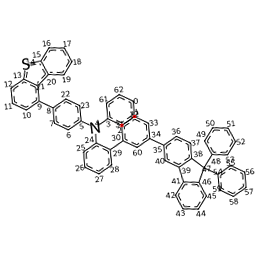 c1ccc(N(c2ccc(-c3cccc4sc5ccccc5c34)cc2)c2ccccc2-c2cccc(-c3ccc4c(c3)-c3ccccc3C4(c3ccccc3)c3ccccc3)c2)cc1